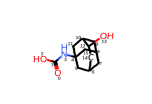 O=C(O)NC12CC3CC(CC(C1)C(O)C3)C2